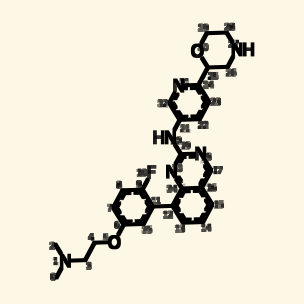 CN(C)CCOc1ccc(F)c(-c2cccc3cnc(Nc4ccc(C5CNCCO5)nc4)nc23)c1